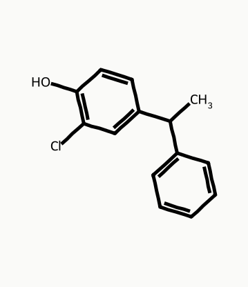 CC(c1ccccc1)c1ccc(O)c(Cl)c1